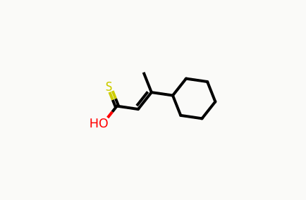 CC(=CC(O)=S)C1CCCCC1